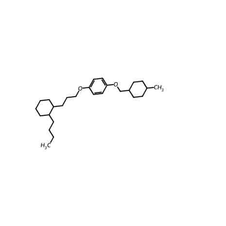 CCCCC1CCCCC1CCCOc1ccc(OCC2CCC(C)CC2)cc1